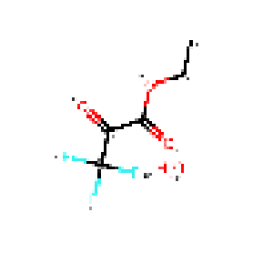 CCOC(=O)C(=O)C(F)(F)F.O